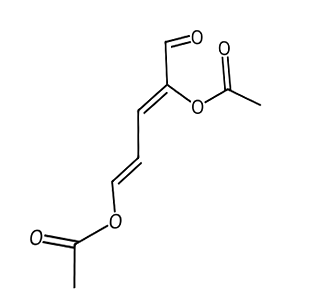 CC(=O)OC=CC=C(C=O)OC(C)=O